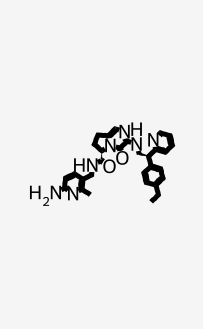 CCc1ccc([C@@H](CNc2ncc3n(c2=O)[C@H](C(=O)NCc2ccc(N)nc2C)CC3)c2ccccn2)cc1